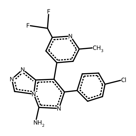 Cc1cc(-c2c(-c3ccc(Cl)cc3)nc(N)n3cnnc23)cc(C(F)F)n1